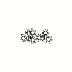 c1ccc(-c2cc3cc(-c4ccc5cc(-c6ccccc6)n(-c6cccc7ccccc67)c5c4)ccc3n2-c2ccccc2)cc1